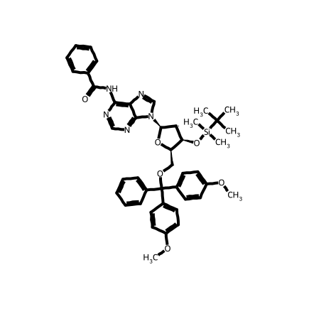 COc1ccc(C(OC[C@H]2O[C@@H](n3cnc4c(NC(=O)c5ccccc5)ncnc43)[CH][C@H]2O[Si](C)(C)C(C)(C)C)(c2ccccc2)c2ccc(OC)cc2)cc1